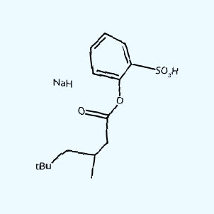 CC(CC(=O)Oc1ccccc1S(=O)(=O)O)CC(C)(C)C.[NaH]